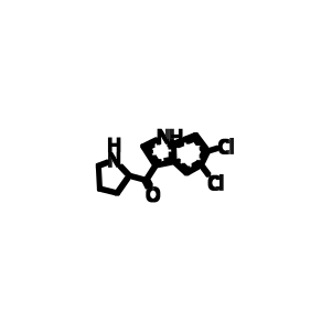 O=C(c1c[nH]c2cc(Cl)c(Cl)cc12)C1CCCN1